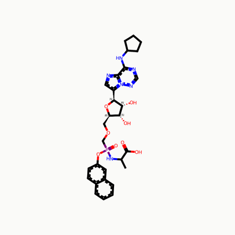 CC(NP(=O)(COC[C@H]1O[C@@H](c2cnc3c(NC4CCCC4)ncnn23)[C@H](O)[C@@H]1O)Oc1ccc2ccccc2c1)C(=O)O